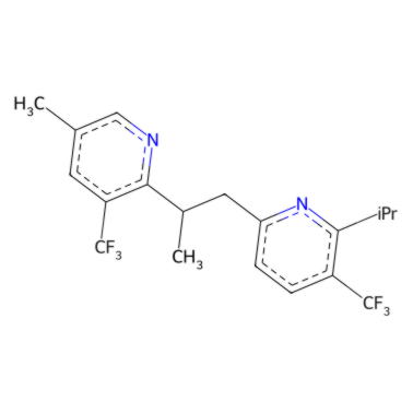 Cc1cnc(C(C)Cc2ccc(C(F)(F)F)c(C(C)C)n2)c(C(F)(F)F)c1